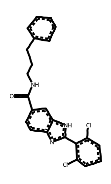 O=C(NCCCc1ccccc1)c1ccc2nc(-c3c(Cl)cccc3Cl)[nH]c2c1